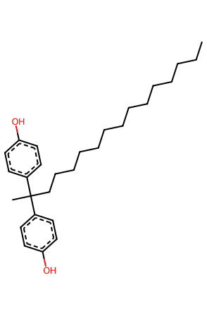 CCCCCCCCCCCCCCC(C)(c1ccc(O)cc1)c1ccc(O)cc1